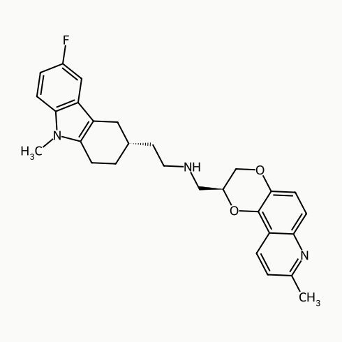 Cc1ccc2c3c(ccc2n1)OC[C@H](CNCC[C@@H]1CCc2c(c4cc(F)ccc4n2C)C1)O3